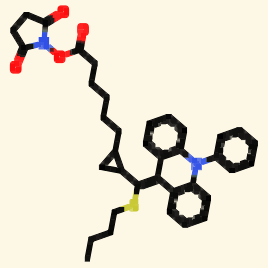 CCCCSC(=C1c2ccccc2N(c2ccccc2)c2ccccc21)C1CC1CCCCCC(=O)ON1C(=O)CCC1=O